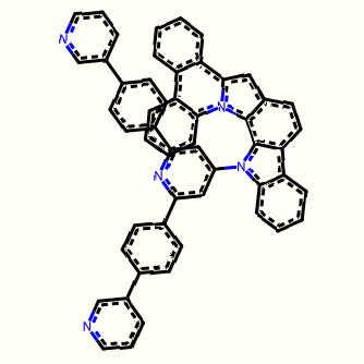 c1cncc(-c2ccc(-c3cc(-n4c5ccccc5c5ccc6cc7c8ccccc8c8ccccc8n7c6c54)cc(-c4ccc(-c5cccnc5)cc4)n3)cc2)c1